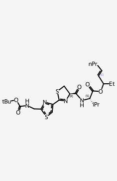 CCC/C=C/C(CC)OC(=O)[C@@H](NC(=O)[C@@H]1CSC(c2csc(CNC(=O)OC(C)(C)C)n2)=N1)C(C)C